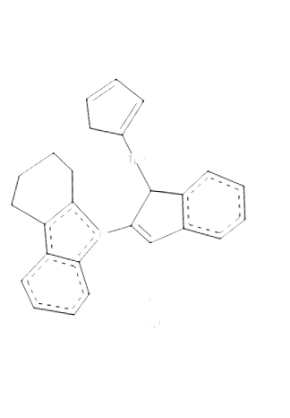 C1=CC[C]([Ti+2][CH]2C(p3c4c(c5ccccc53)CCCC4)=Cc3ccccc32)=C1.[Cl-].[Cl-]